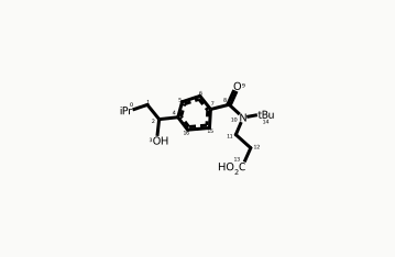 CC(C)CC(O)c1ccc(C(=O)N(CCC(=O)O)C(C)(C)C)cc1